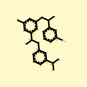 Cc1cc(CC(C)c2cccc(F)c2)cc(C(C)Cc2cccc(C(C)C)c2)c1